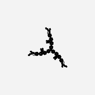 CCCCC(CC)COc1ccc(-c2ccc3c(c2)C(CCC)(CCC)c2cc(-c4ccc(N(c5ccc(-c6ccc7c(c6)C(CCC)(CCC)C6=C7C=CC(c7ccc(OCC(CC)CCCC)cc7)C6)cc5)c5ccc(-c6ccc7c(c6)C(CCC)(CCC)c6cc(-c8ccc(OCC(CC)CCCC)cc8)ccc6-7)cc5)cc4)ccc2-3)cc1